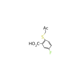 CC(=O)CSc1ccc(F)cc1C(=O)O